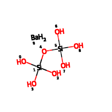 O[Si](O)(O)O[Si](O)(O)O.[BaH2]